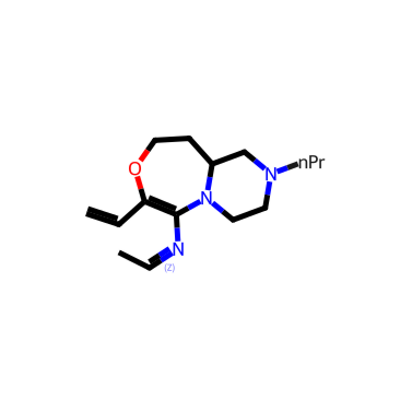 C=CC1=C(/N=C\C)N2CCN(CCC)CC2CCO1